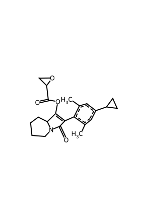 Cc1cc(C2CC2)cc(C)c1C1=C(OC(=O)C2CO2)C2CCCCN2C1=O